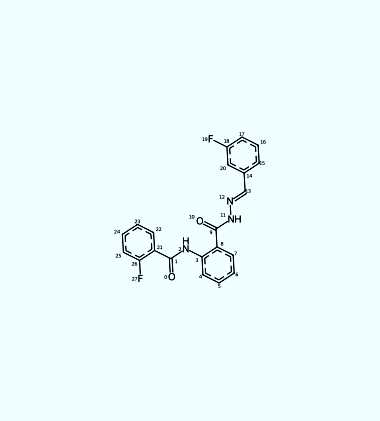 O=C(Nc1ccccc1C(=O)NN=Cc1cccc(F)c1)c1ccccc1F